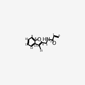 C=CC(=O)NCc1oc2ccccc2c1C